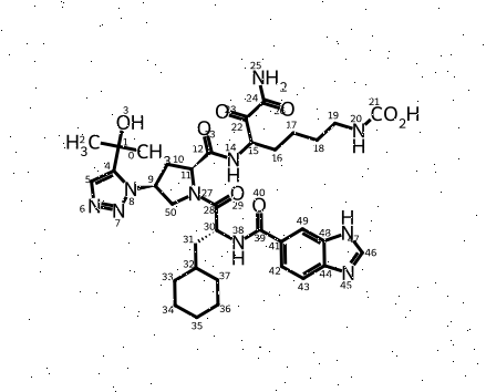 CC(C)(O)c1cnnn1[C@H]1C[C@@H](C(=O)NC(CCCCNC(=O)O)C(=O)C(N)=O)N(C(=O)[C@@H](CC2CCCCC2)NC(=O)c2ccc3nc[nH]c3c2)C1